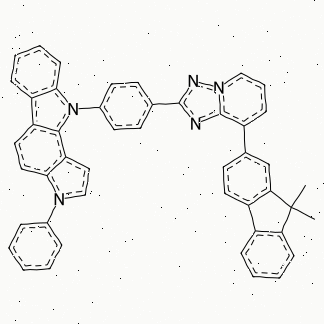 CC1(C)c2ccccc2-c2ccc(-c3cccn4nc(-c5ccc(-n6c7ccccc7c7ccc8c(ccn8-c8ccccc8)c76)cc5)nc34)cc21